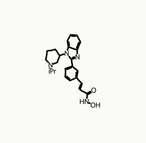 CC(C)N1CCCC(n2c(-c3cccc(C=CC(=O)NO)c3)nc3ccccc32)C1